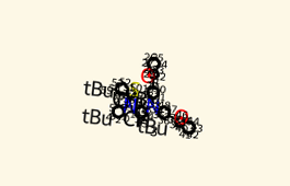 Cc1cc(C(C)(C)C)cc(C)c1N1c2cc(C(C)(C)C)cc3c2B(c2cc(-c4cc5ccccc5o4)ccc2N3c2ccc(-c3cc4ccccc4o3)cc2)c2sc3ccc(C(C)(C)C)cc3c21